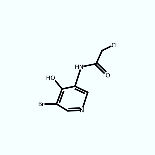 O=C(CCl)Nc1cncc(Br)c1O